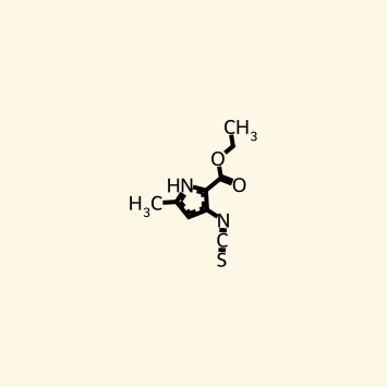 CCOC(=O)c1[nH]c(C)cc1N=C=S